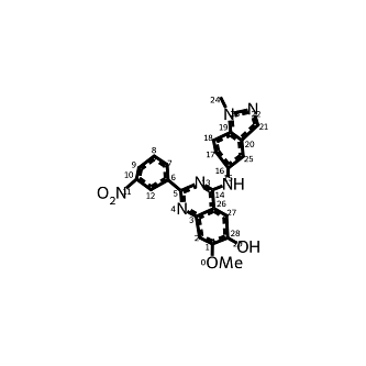 COc1cc2nc(-c3cccc([N+](=O)[O-])c3)nc(Nc3ccc4c(cnn4C)c3)c2cc1O